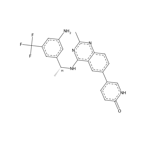 Cc1nc(N[C@H](C)c2cc(N)cc(C(F)(F)F)c2)c2cc(-c3ccc(=O)[nH]c3)ccc2n1